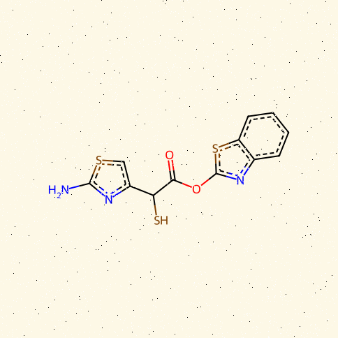 Nc1nc(C(S)C(=O)Oc2nc3ccccc3s2)cs1